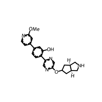 COc1cc(-c2ccc(-c3cnc(OC4C[C@H]5CNC[C@H]5C4)cn3)c(O)c2)ccn1